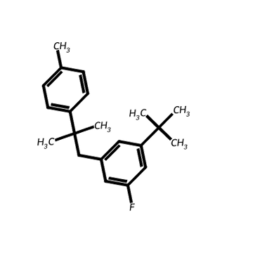 Cc1ccc(C(C)(C)Cc2cc(F)cc(C(C)(C)C)c2)cc1